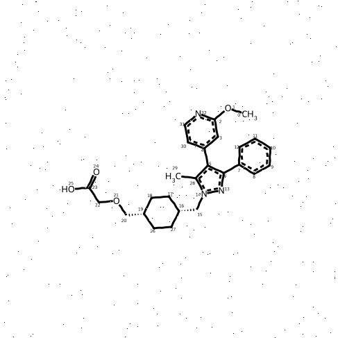 COc1cc(-c2c(-c3ccccc3)nn(C[C@H]3CC[C@@H](COCC(=O)O)CC3)c2C)ccn1